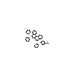 C[Si](C)(C)c1ccc(N(c2ccccc2)c2cc3cc(N(c4ccccc4)c4ccc([Si](C)(C)C)cc4)c4ccccc4c3c3ccccc23)cc1